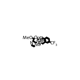 COC(=O)c1nccnc1N(C)S(=O)(=O)Cc1cc(C(F)(F)F)ccc1Cl